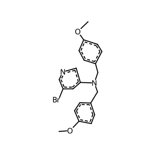 COc1ccc(CN(Cc2ccc(OC)cc2)c2cncc(Br)c2)cc1